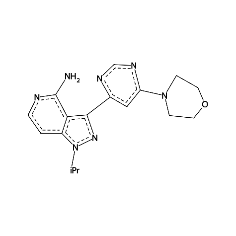 CC(C)n1nc(-c2cc(N3CCOCC3)ncn2)c2c(N)nccc21